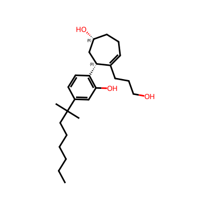 CCCCCCC(C)(C)c1ccc([C@@H]2C[C@H](O)CCC=C2CCCO)c(O)c1